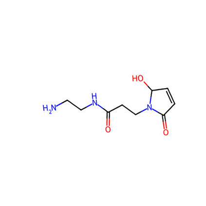 NCCNC(=O)CCN1C(=O)C=CC1O